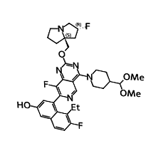 CCc1c(F)ccc2cc(O)cc(-c3ncc4c(N5CCC(C(OC)OC)CC5)nc(OC[C@@]56CCCN5C[C@H](F)C6)nc4c3F)c12